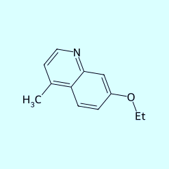 CCOc1ccc2c(C)ccnc2c1